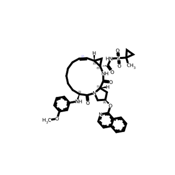 COc1cccc(N[C@H]2CCCCC/C=C\[C@@H]3C[C@@]3(C(=O)NS(=O)(=O)C3(C)CC3)NC(=O)[C@@H]3C[C@@H](Oc4nccc5ccccc45)CN3C2=O)c1